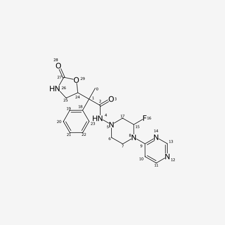 CC(C(=O)NN1CCN(c2ccncn2)C(F)C1)(c1ccccc1)C1CNC(=O)O1